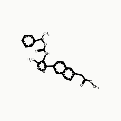 COC(=O)Cc1ccc2cc(-c3snc(C)c3NC(=O)O[C@H](C)c3ccccc3)ccc2c1